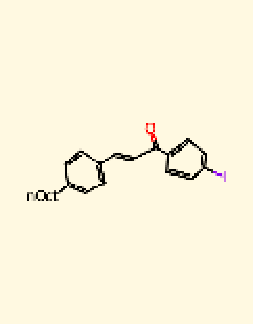 CCCCCCCCc1ccc(C=CC(=O)c2ccc(I)cc2)cc1